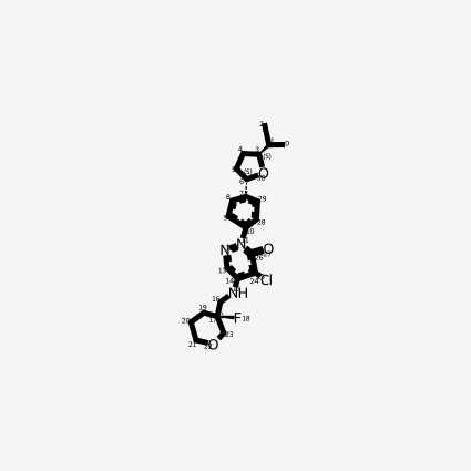 CC(C)[C@@H]1CC[C@@H](c2ccc(-n3ncc(NC[C@@]4(F)CCCOC4)c(Cl)c3=O)cc2)O1